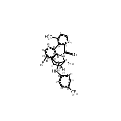 Cc1ccnc(C(=O)N2C[C@@H]3CC[C@H]2[C@H](Nc2ccc(C(F)(F)F)cn2)C3)c1-c1ncc(F)cn1